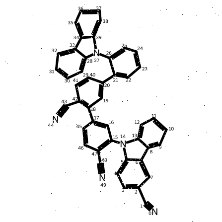 N#Cc1ccc2c(c1)c1ccccc1n2-c1cc(-c2cc(-c3ccccc3-n3c4ccccc4c4ccccc43)ccc2C#N)ccc1C#N